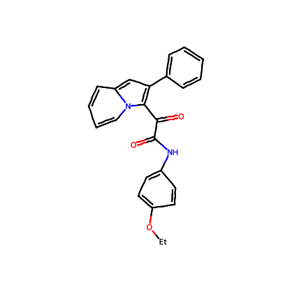 CCOc1ccc(NC(=O)C(=O)c2c(-c3ccccc3)cc3ccccn23)cc1